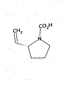 C=C[C@H]1CCCN1C(=O)O